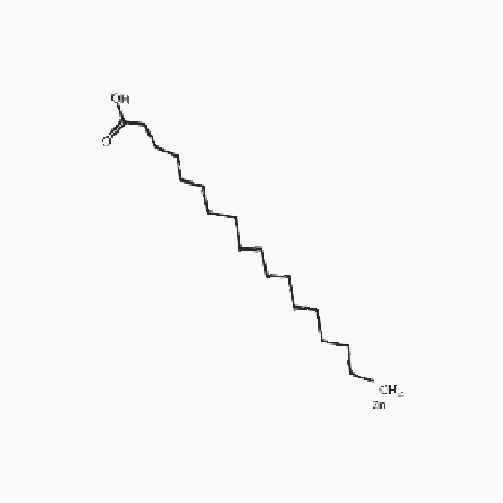 C.CCCCCCCCCCCCCCCCCC(=O)O.[Zn]